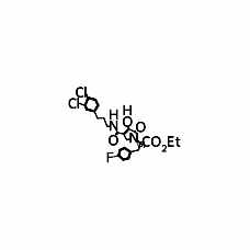 CCOC(=O)[C@H](Cc1ccc(F)cc1)N1CC(C(=O)NCCCc2ccc(Cl)c(Cl)c2)=C(O)C1=O